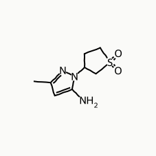 Cc1cc(N)n(C2CCS(=O)(=O)C2)n1